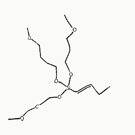 CCC=C[Si](OCCCOC)(OCCCOC)OCCCOC